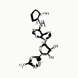 Cc1nnc([C@H]2O[C@@H](n3cnc4c(N[C@H]5CCC[C@@H]5O)ncnc43)[C@@H](O)[C@H]2O)o1